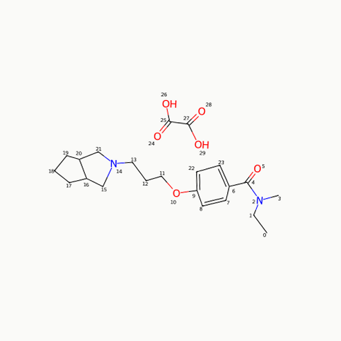 CCN(C)C(=O)c1ccc(OCCCN2CC3CCCC3C2)cc1.O=C(O)C(=O)O